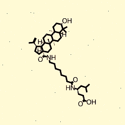 C=C(C)[C@@H]1CC[C@]2(C(=O)NCCCCCCCC(=O)N[C@H](CCC(=O)O)CC(C)C)CC[C@]3(C)[C@H](CCC4[C@@]5(C)CC[C@H](O)C(C)(C)[C@@H]5CC[C@]43C)[C@@H]12